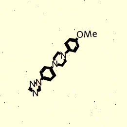 COc1ccc(N2CCN(c3ccc(-n4cncn4)cc3)CC2)cc1